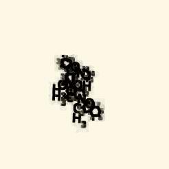 CC(CC1CCCCC1)C(=O)N1CC[C@](O)(Cn2cc(C(=O)N3CCCC3)c(-c3ccccc3)cc2=O)C(C)(C)C1